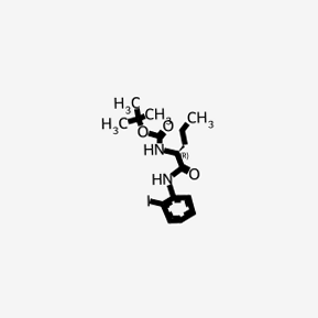 CCC[C@@H](NC(=O)OC(C)(C)C)C(=O)Nc1ccccc1I